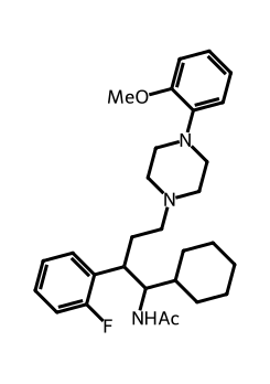 COc1ccccc1N1CCN(CCC(c2ccccc2F)C(NC(C)=O)C2CCCCC2)CC1